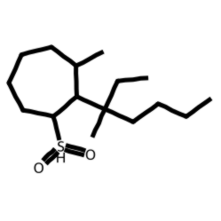 CCCCC(C)(CC)C1C(C)CCCCC1[SH](=O)=O